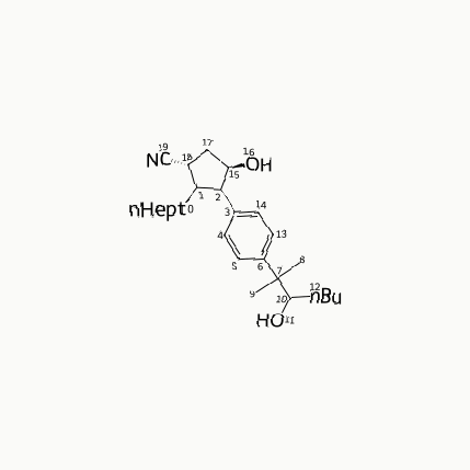 CCCCCCCC1C(c2ccc(C(C)(C)C(O)CCCC)cc2)[C@H](O)C[C@H]1C#N